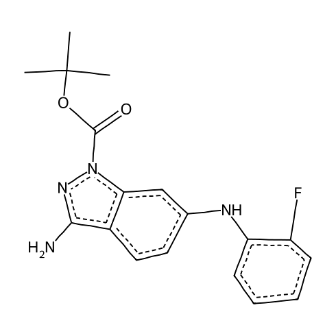 CC(C)(C)OC(=O)n1nc(N)c2ccc(Nc3ccccc3F)cc21